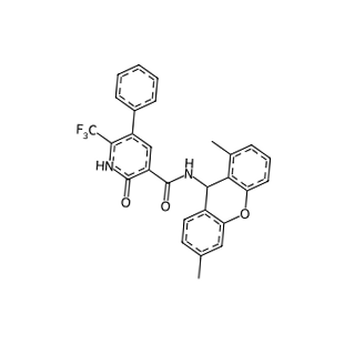 Cc1ccc2c(c1)Oc1cccc(C)c1C2NC(=O)c1cc(-c2ccccc2)c(C(F)(F)F)[nH]c1=O